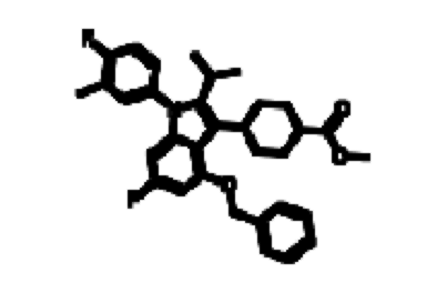 COC(=O)C1CCC(c2c(C(C)C)n(-c3ccc(F)c(C)c3)c3cc(F)cc(OCc4ccccc4)c23)CC1